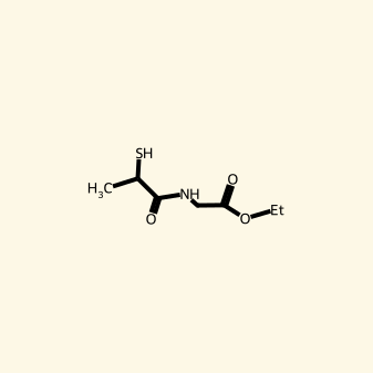 CCOC(=O)CNC(=O)C(C)S